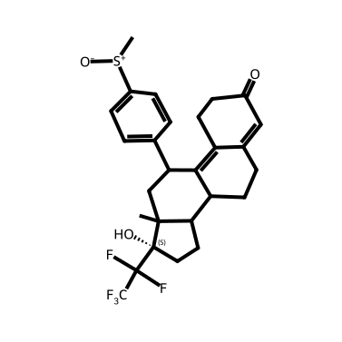 C[S+]([O-])c1ccc(C2CC3(C)C(CC[C@@]3(O)C(F)(F)C(F)(F)F)C3CCC4=CC(=O)CCC4=C23)cc1